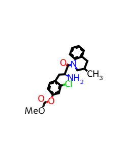 COC(=O)Oc1ccc(C[C@H](N)C(=O)N2CC(C)Cc3ccccc32)c(Cl)c1